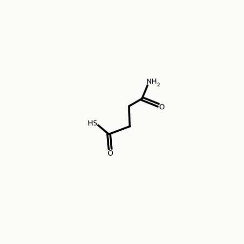 NC(=O)CCC(=O)S